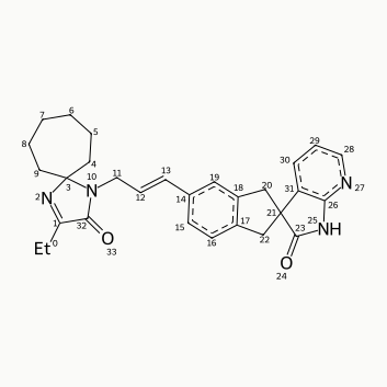 CCC1=NC2(CCCCCC2)N(C/C=C/c2ccc3c(c2)CC2(C3)C(=O)Nc3ncccc32)C1=O